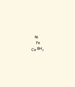 B.[Co].[Fe].[Ni]